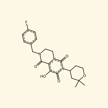 CC1(C)CC(n2c(=O)c(O)c3n(c2=O)CCN(Cc2ccc(F)cc2)C3=O)CCO1